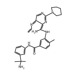 C=C/N=C1/C=NC(N2CCCCC2)=N/C1=C(/N)Nc1cc(C(=O)Nc2cccc(C(C)(C)N)c2)ccc1C